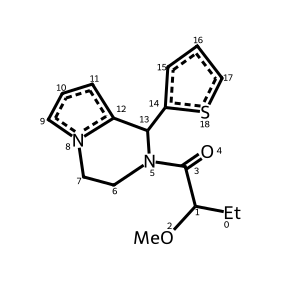 CCC(OC)C(=O)N1CCn2cccc2C1c1cccs1